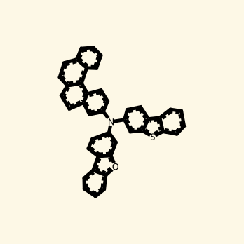 c1ccc2c(c1)ccc1ccc3cc(N(c4ccc5c(c4)oc4ccccc45)c4ccc5c(c4)sc4ccccc45)ccc3c12